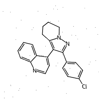 Clc1ccc(-c2nn3c(c2-c2ccnc4ccccc24)CCCC3)cc1